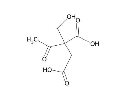 CC(=O)C(CO)(CC(=O)O)C(=O)O